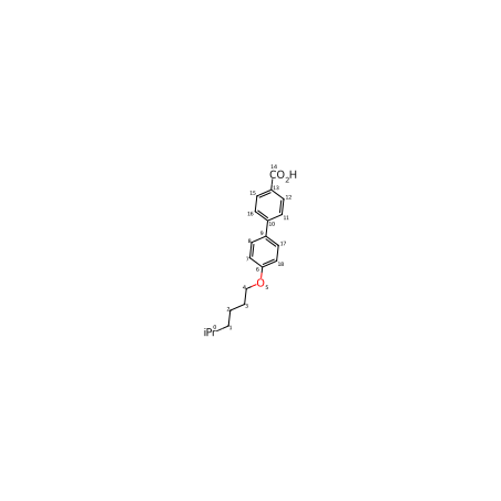 CC(C)CCCCOc1ccc(-c2ccc(C(=O)O)cc2)cc1